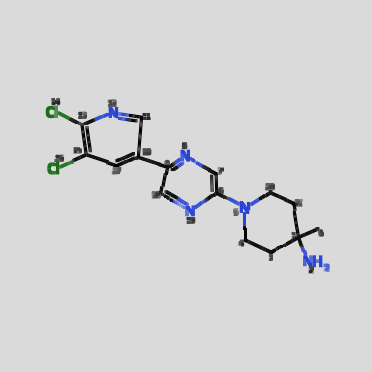 CC1(N)CCN(c2cnc(-c3cnc(Cl)c(Cl)c3)cn2)CC1